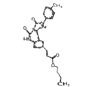 CCCCOC(=O)/C=C/c1ccc2[nH]c(=O)n3c(=O)n(-c4ccc(C)cc4)nc3c2c1